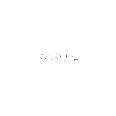 Cc1c(C(=O)C(=O)N[C@]2(c3cn[nH]n3)C[C@@H](F)C2)cn(C)c1C(=O)Nc1ccc(F)c(C#N)c1